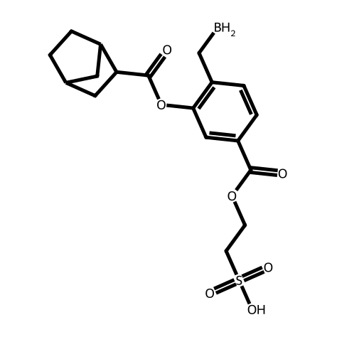 BCc1ccc(C(=O)OCCS(=O)(=O)O)cc1OC(=O)C1CC2CCC1C2